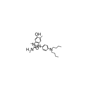 CCCCN(CCCC)c1ccc(Nc2cc(C)c(O)cc2N(C)C(N)=O)cc1